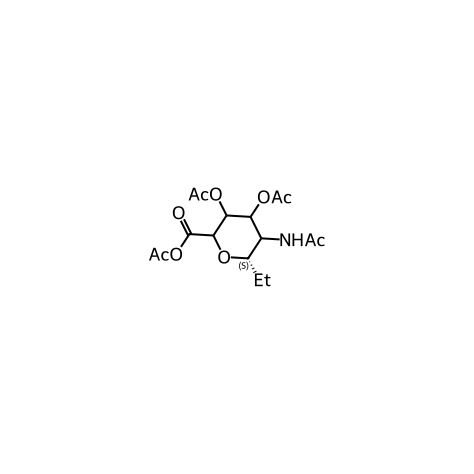 CC[C@@H]1OC(C(=O)OC(C)=O)C(OC(C)=O)C(OC(C)=O)C1NC(C)=O